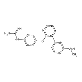 C[AsH]c1nccc(-c2cccnc2Oc2ccc(NC(=N)N)cc2)n1